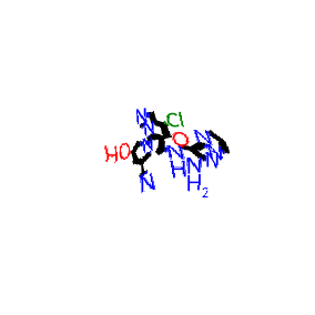 CC(NC(=O)c1c(N)nn2cccnc12)c1cc(Cl)c2cncn2c1N1C[C@H](O)C[C@H](C#N)C1